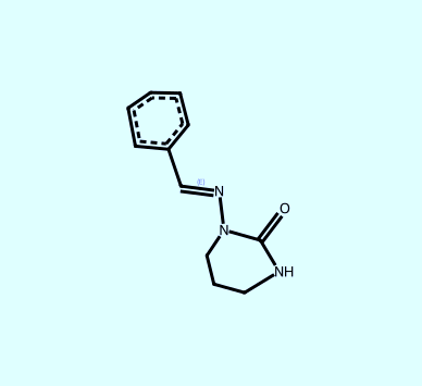 O=C1NCCCN1/N=C/c1ccccc1